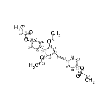 C=COc1cc(C#Cc2ccc(OC(=O)C=C)cc2)cc(OC=C)c1-c1ccc(OC(=O)C=C)cc1